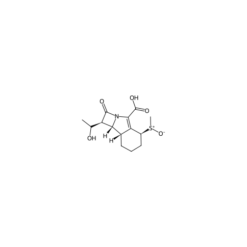 CC(O)[C@H]1C(=O)N2C(C(=O)O)=C3[C@H](CCC[C@@H]3[S+](C)[O-])[C@H]12